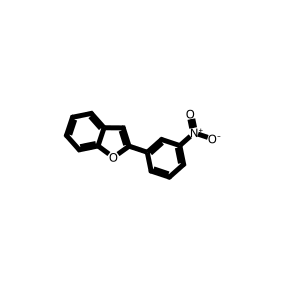 O=[N+]([O-])c1cccc(-c2cc3ccccc3o2)c1